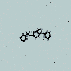 CC(O)(Cc1ccc2c(cnn2-c2ccccc2)c1)c1ccccc1